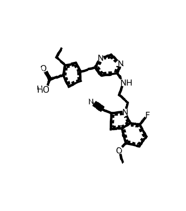 CCc1cc(-c2cc(NCCn3c(C#N)cc4c(OC)ccc(F)c43)ncn2)ccc1C(=O)O